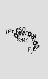 COc1ccc(C(C)C)c(N2CCS/C2=N\C(=O)NCc2ccc(-c3ncn(-c4ccc(OC(F)(F)F)cc4)n3)cc2)c1